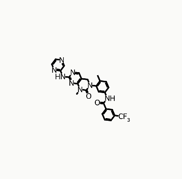 Cc1ccc(NC(=O)c2cccc(C(F)(F)F)c2)cc1N1Cc2cnc(Nc3cnccn3)nc2N(C)C1=O